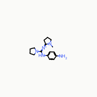 CN1CCCC1=[N+]=C(Nc1ccc(N)cc1)N1CCCC1